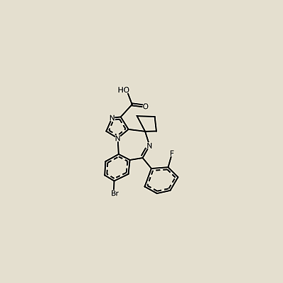 O=C(O)c1ncn2c1C1(CCC1)N=C(c1ccccc1F)c1cc(Br)ccc1-2